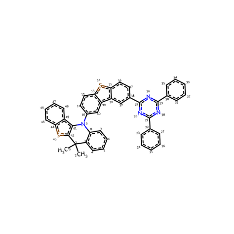 CC1(C)c2ccccc2N(c2ccc3sc4ccc(-c5nc(-c6ccccc6)nc(-c6ccccc6)n5)cc4c3c2)c2c1sc1ccccc21